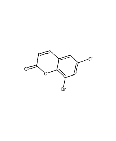 O=c1ccc2cc(Cl)cc(Br)c2o1